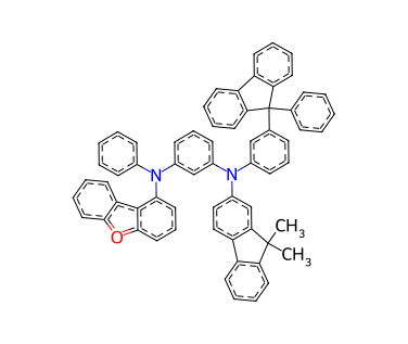 CC1(C)c2ccccc2-c2ccc(N(c3cccc(N(c4ccccc4)c4cccc5oc6ccccc6c45)c3)c3cccc(C4(c5ccccc5)c5ccccc5-c5ccccc54)c3)cc21